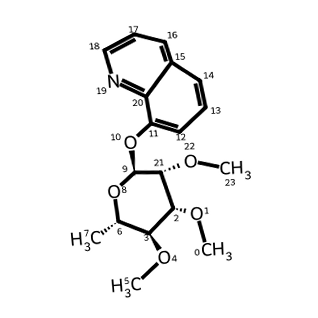 CO[C@@H]1[C@@H](OC)[C@H](C)O[C@@H](Oc2cccc3cccnc23)[C@@H]1OC